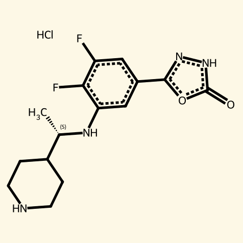 C[C@H](Nc1cc(-c2n[nH]c(=O)o2)cc(F)c1F)C1CCNCC1.Cl